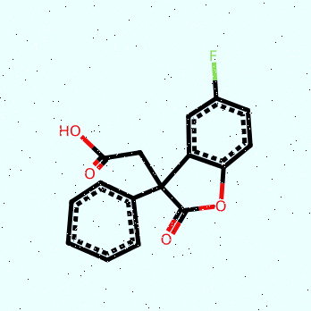 O=C(O)CC1(c2ccccc2)C(=O)Oc2ccc(F)cc21